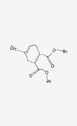 CC(C)OC(=O)C1=C(C(=O)OC(C)C)CC(C=O)=CC1